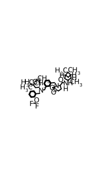 C[C@@H]1[C@@H](NC(=O)C2CCS(=O)(=O)N2Cc2cccc(CN(Cc3ccccc3OC(F)F)[C@H](CN(C)C)CC(C)(C)C)c2)C[C@H]2C[C@@H]1C2(C)C